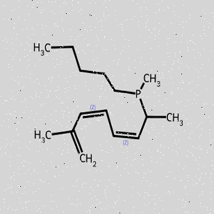 C=C(C)/C=C\C=C/C(C)P(C)CCCCC